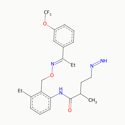 CC/C(=N\OCc1c(CC)cccc1NC(=O)C(C)CCN=N)c1cccc(OC(F)(F)F)c1